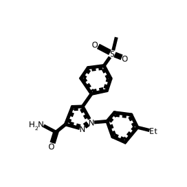 CCc1ccc(-n2nc(C(N)=O)cc2-c2ccc(S(C)(=O)=O)cc2)cc1